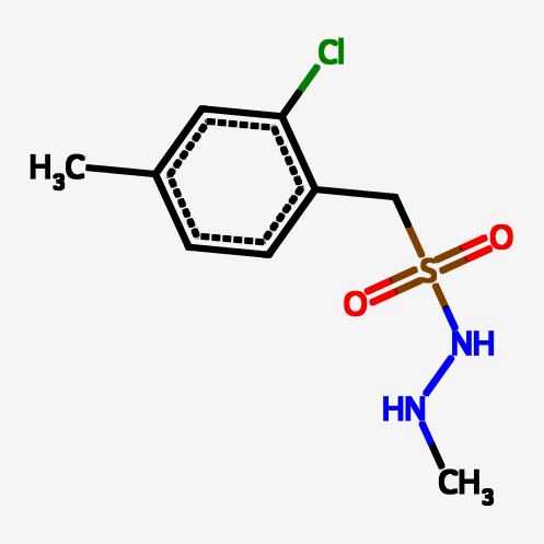 CNNS(=O)(=O)Cc1ccc(C)cc1Cl